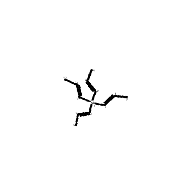 CC=C[Si](C=CC)(C=CC)C=CC